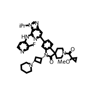 COC1(C(=O)N2CCC3(CC2)C(=O)N([C@H]2C[C@@H](N4CCCCC4)C2)c2cc(-c4cc5ncn(C(C)C)c5c(Nc5ccncc5F)n4)ccc23)CC1